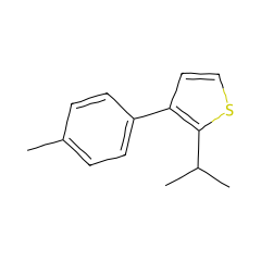 Cc1ccc(-c2ccsc2C(C)C)cc1